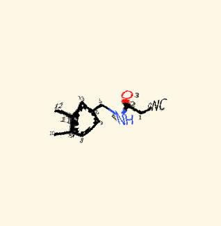 [C-]#[N+]CC(=O)NCc1ccc(C)c(C)c1